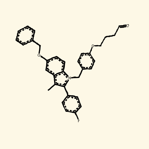 Cc1c(-c2ccc(F)cc2)n(Cc2ccc(OCCCC=O)cc2)c2ccc(OCc3ccccc3)cc12